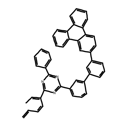 C=C/C=C\C(=C/C)c1nc(-c2ccccc2)nc(-c2cccc(-c3cccc(-c4ccc5c6ccccc6c6ccccc6c5c4)c3)c2)n1